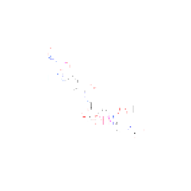 COc1nc(C(=O)O)ccc1NC(=O)c1ccc(NC(=O)c2ccc(NC(=O)CNC=O)cc2)c(OC)c1O